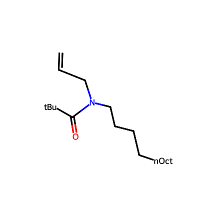 C=CCN(CCCCCCCCCCCC)C(=O)C(C)(C)C